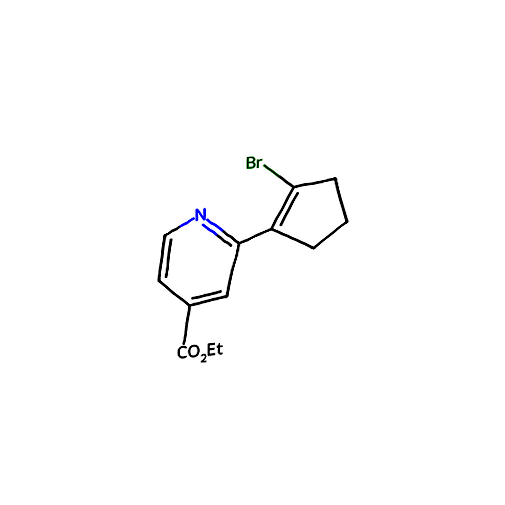 CCOC(=O)c1ccnc(C2=C(Br)CCC2)c1